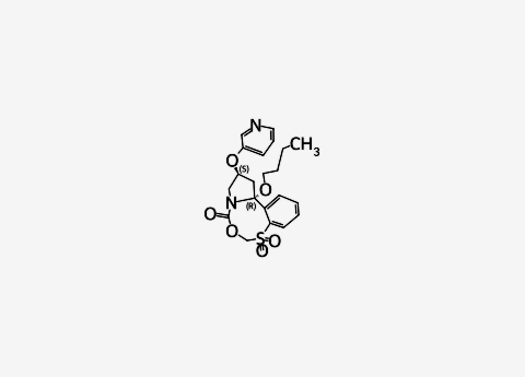 CCCCO[C@@]12C[C@H](Oc3cccnc3)CN1C(=O)OCS(=O)(=O)c1ccccc12